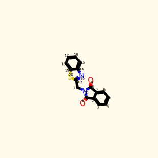 O=C1c2ccccc2C(=O)N1Cc1nc2ccccc2s1